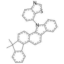 CC1(C)c2ccccc2-c2c1ccc1c2ccc2c3ccccc3n(-c3cccc4ncsc34)c12